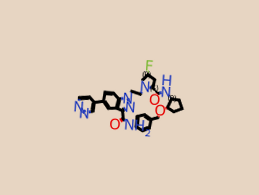 NC(=O)c1nn(CCN2C[C@H](F)C[C@H]2C(=O)N[C@@H]2CCCC2OCc2ccccc2)c2ccc(-c3ccnnc3)cc12